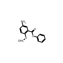 O=[C]Oc1ccc([N+](=O)[O-])cc1C(=O)Oc1ccccc1